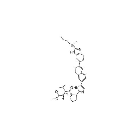 CCCC[C@H](C)c1nc2ccc(-c3ccc4cc(-c5cnc(C6CCCN6C(=O)[C@@H](NC(=O)OC)C(C)C)[nH]5)ccc4c3)cc2[nH]1